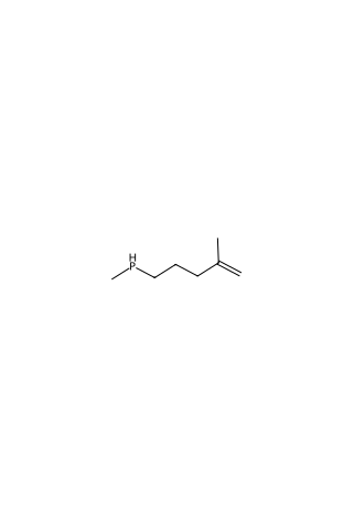 C=C(C)CCCPC